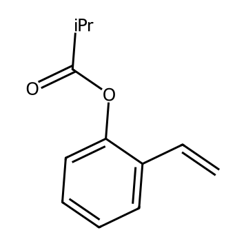 C=Cc1ccccc1OC(=O)C(C)C